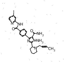 CC#CCN1CCCCC1c1nc(-c2ccc(C(=O)Nc3cc(I)ccn3)cc2)c(C(N)=O)n1N